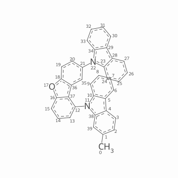 Cc1ccc2c3ccccc3n(-c3cccc4oc5ccc(-n6c7ccccc7c7ccccc76)cc5c34)c2c1